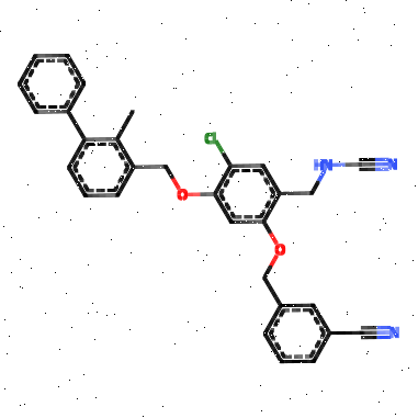 Cc1c(COc2cc(OCc3cccc(C#N)c3)c(CNC#N)cc2Cl)cccc1-c1ccccc1